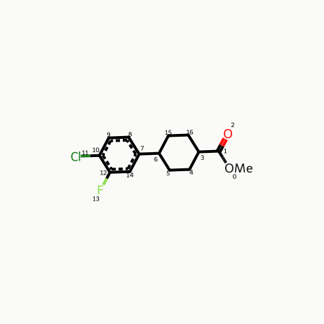 COC(=O)C1CCC(c2ccc(Cl)c(F)c2)CC1